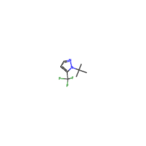 CC(C)(C)n1nccc1C(F)(F)F